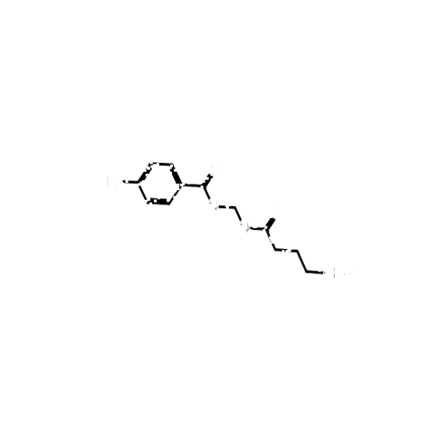 CCCCCCCCCCCCCC(=O)NCNC(=O)c1ccc(O)cc1